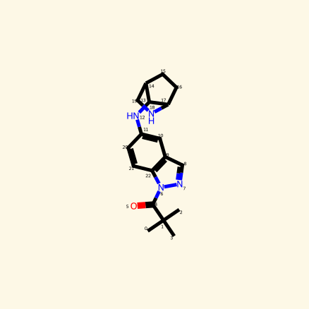 CC(C)(C)C(=O)n1ncc2cc(NC3C4CCC3NC4)ccc21